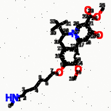 CNCCCCCCOc1cc2c(cc1OC)-c1cc(=O)c(C(=O)OC)cn1C(C(C)(C)C)C2